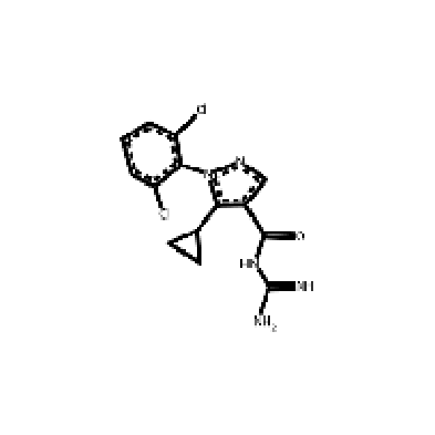 N=C(N)NC(=O)c1cnn(-c2c(Cl)cccc2Cl)c1C1CC1